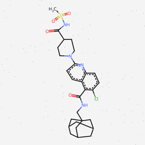 CS(=O)(=O)NC(=O)C1CCN(c2ccc3c(C(=O)NCC45CC6CC(CC(C6)C4)C5)c(Cl)ccc3n2)CC1